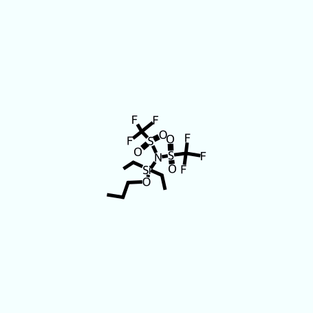 CCCO[Si](CC)(CC)N(S(=O)(=O)C(F)(F)F)S(=O)(=O)C(F)(F)F